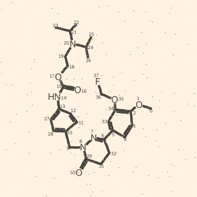 COc1ccc(C2=NN(Cc3ccc(NC(=O)OCCN(C(C)C)C(C)C)cc3)C(=O)CC2)cc1OCF